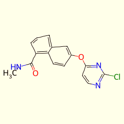 CNC(=O)c1cccc2cc(Oc3ccnc(Cl)n3)ccc12